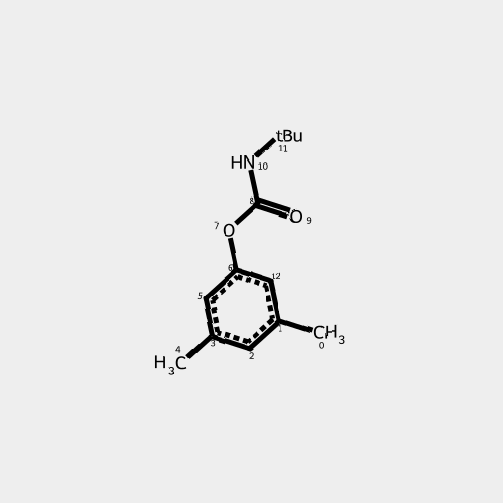 Cc1cc(C)cc(OC(=O)NC(C)(C)C)c1